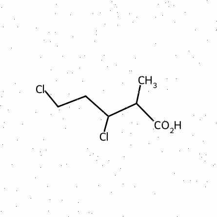 CC(C(=O)O)C(Cl)CCCl